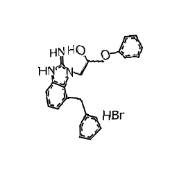 Br.N=c1[nH]c2cccc(Cc3ccccc3)c2n1CC(O)COc1ccccc1